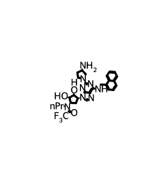 CCCN(C(=O)C(F)(F)F)[C@H]1C[C@@H](n2cnc3c(NCc4cccc5ccccc45)nc(N4CC[C@@H](N)C4)nc32)[C@H](O)[C@@H]1O